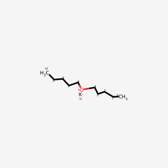 CCCCCOCCCCC.[K]